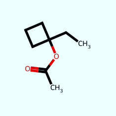 CCC1(OC(C)=O)CCC1